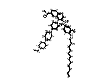 CCCCCCCCCCCCOc1ccc(S(=O)(=O)c2cnc3ccc([S+](C)[O-])cc3c2N2CCC(N3CCN(C4CCN(CC)CC4)CC3)CC2)cc1F